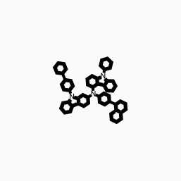 c1ccc(-c2ccc(-n3c4ccccc4c4ccc(N(c5ccc(-c6cccc7ccccc67)cc5)c5cccc6c5c5ccccc5n6-c5ccccc5)cc43)cc2)cc1